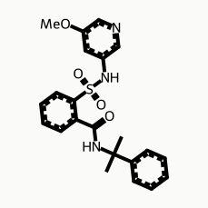 COc1cncc(NS(=O)(=O)c2ccccc2C(=O)NC(C)(C)c2ccccc2)c1